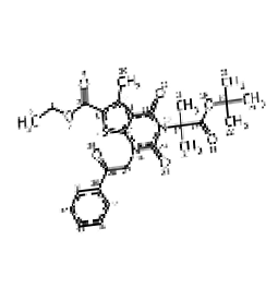 CCOC(=O)c1sc2c(c1C)c(=O)n(C(C)(C)C(=O)OC(C)(C)C)c(=O)n2CC(=O)c1ccccc1